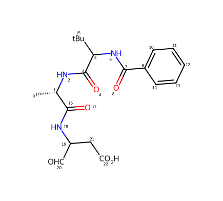 C[C@H](NC(=O)C(NC(=O)c1ccccc1)C(C)(C)C)C(=O)NC(C=O)CC(=O)O